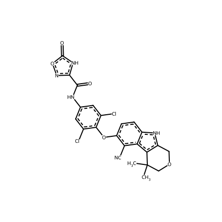 CC1(C)COCc2[nH]c3ccc(Oc4c(Cl)cc(NC(=O)c5noc(=O)[nH]5)cc4Cl)c(C#N)c3c21